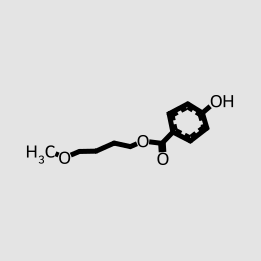 COCCCCOC(=O)c1ccc(O)cc1